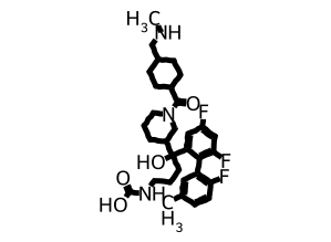 CNCC1CCC(C(=O)N2CCCC(C(O)(CCCNC(=O)O)c3cc(F)cc(F)c3-c3cc(C)ccc3F)C2)CC1